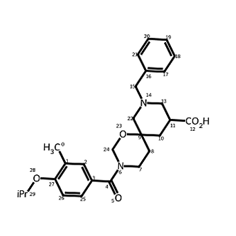 Cc1cc(C(=O)N2CCC3(CC(C(=O)O)CN(Cc4ccccc4)C3)OC2)ccc1OC(C)C